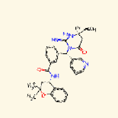 C#C[C@@]1(C(C)C)CC(=O)N([C@H](c2cccnc2)c2cccc(C(=O)N[C@H]3CC(C)(C)Oc4ccccc43)c2)C(=N)N1